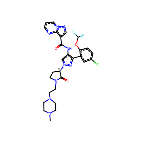 CN1CCN(CCN2CC[C@@H](n3cc(NC(=O)c4cnn5cccnc45)c(-c4cc(Cl)ccc4OC(F)F)n3)C2=O)CC1